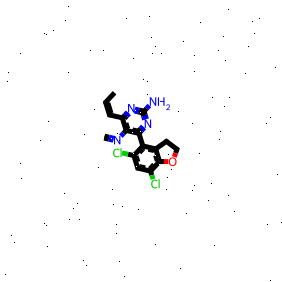 C=Nc1c(/C=C\C)nc(N)nc1-c1c(Cl)cc(Cl)c2c1CCO2